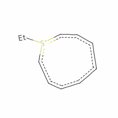 CC[s+]1cccccccc1